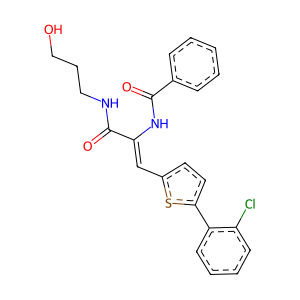 O=C(NCCCO)C(=Cc1ccc(-c2ccccc2Cl)s1)NC(=O)c1ccccc1